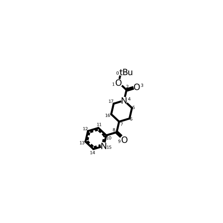 CC(C)(C)OC(=O)N1CCC(C(=O)c2ccccn2)CC1